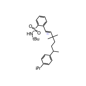 CC(C)c1ccc(C(C)CCC(C)(C)/C=C/c2ccccc2S(=O)(=O)NC(C)(C)C)cc1